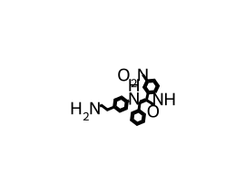 NCCc1ccc(NC(=C2C(=O)Nc3ccc([N+](=O)[O-])cc32)c2ccccc2)cc1